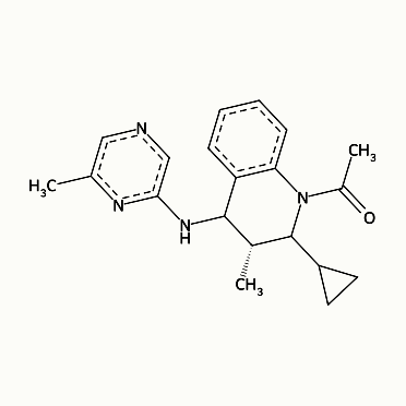 CC(=O)N1c2ccccc2C(Nc2cncc(C)n2)[C@@H](C)C1C1CC1